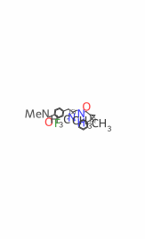 CNC(=O)c1ccc(C[C@@H](CNC(=O)C2=C[C@@]2(C)c2ccccc2)N(C)C)cc1F